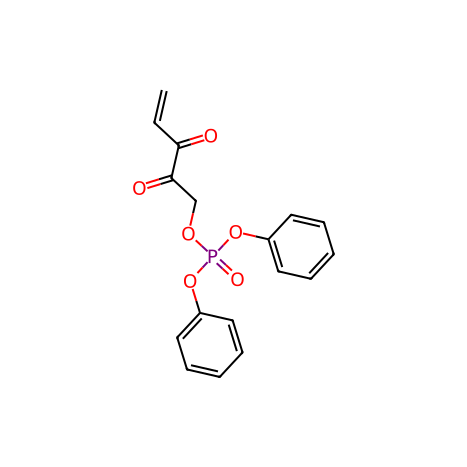 C=CC(=O)C(=O)COP(=O)(Oc1ccccc1)Oc1ccccc1